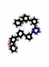 c1cc(-c2cccc(-c3ncnc(-c4cccc(-c5ccc6sc7ccccc7c6c5)c4)n3)c2)cc(-c2ccc3oc4cccnc4c3c2)c1